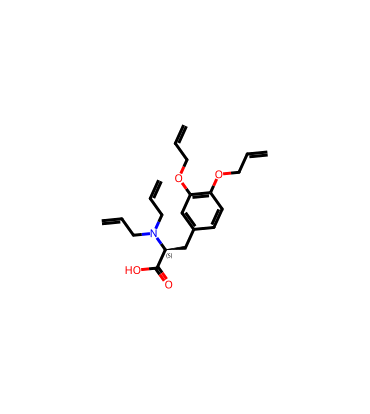 C=CCOc1ccc(C[C@@H](C(=O)O)N(CC=C)CC=C)cc1OCC=C